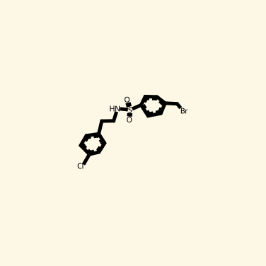 O=S(=O)(NCCc1ccc(Cl)cc1)c1ccc(CBr)cc1